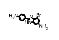 Nc1ccc(-c2nc3c(Br)cc(N)cc3[nH]2)cc1